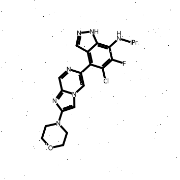 CC(C)Nc1c(F)c(Cl)c(-c2cn3cc(N4CCOCC4)nc3cn2)c2cn[nH]c12